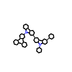 c1ccc(-c2ccc3c(c2)c2cc(-c4ccc5c6ccccc6n(-c6ccc7c8ccccc8c8ccccc8c7c6)c5c4)ccc2n3-c2ccccc2)cc1